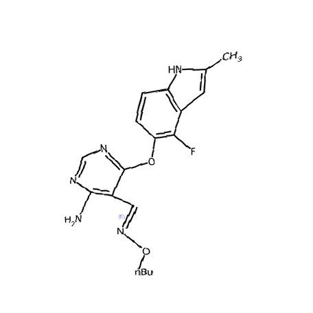 CCCCO/N=C/c1c(N)ncnc1Oc1ccc2[nH]c(C)cc2c1F